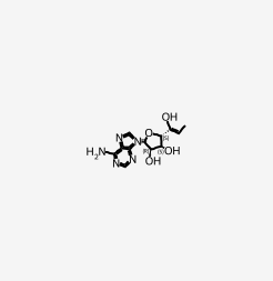 CC=C(O)[C@H]1O[C@@H](n2cnc3c(N)ncnc32)[C@H](O)[C@@H]1O